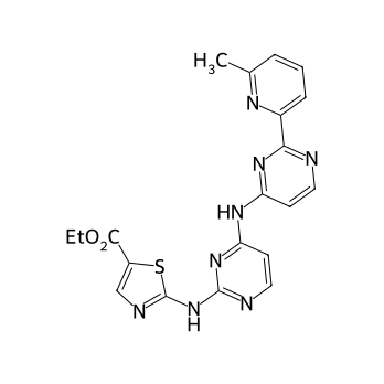 CCOC(=O)c1cnc(Nc2nccc(Nc3ccnc(-c4cccc(C)n4)n3)n2)s1